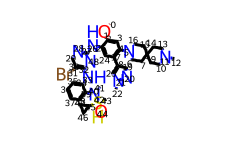 COc1cc(N2CCC3(CCN(C)CC3)CC2)c(-c2cnn(C)c2)cc1Nc1ncc(Br)c(Nc2ccccc2N(C)[SH](C)(=O)C2CC2)n1